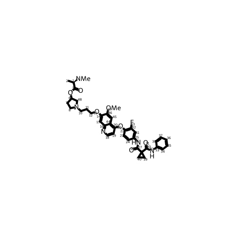 CN[C@H](C)C(=O)OC1CCN(CCCOc2cc3nccc(Oc4ccc(NC(=O)C5(C(=O)Nc6ccccc6)CC5)cc4F)c3cc2OC)C1